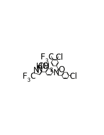 Cn1nc(C(F)(F)F)cc1-c1ccc(N(Cc2ccc(Cl)cc2)C(=O)c2ccc(C(F)(F)F)c(Cl)c2)cc1O